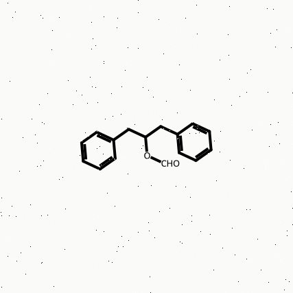 O=COC(Cc1ccccc1)Cc1ccccc1